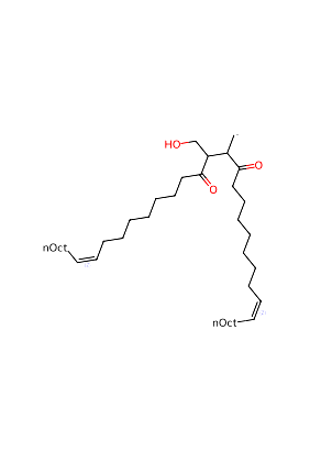 [CH2]C(C(=O)CCCCCCC/C=C\CCCCCCCC)C(CO)C(=O)CCCCCCC/C=C\CCCCCCCC